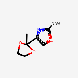 CNc1nc(C2(C)OCCO2)co1